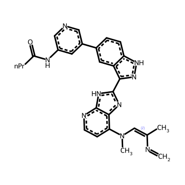 C=N/C(C)=C\N(C)c1ccnc2[nH]c(-c3n[nH]c4ccc(-c5cncc(NC(=O)CCC)c5)cc34)nc12